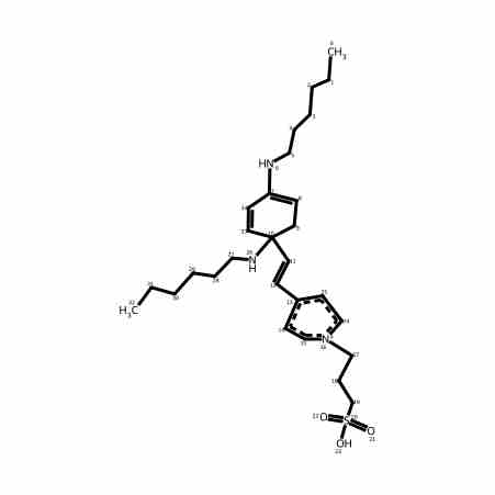 CCCCCCNC1=CCC(C=Cc2cc[n+](CCCS(=O)(=O)O)cc2)(NCCCCCC)C=C1